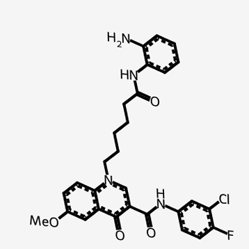 COc1ccc2c(c1)c(=O)c(C(=O)Nc1ccc(F)c(Cl)c1)cn2CCCCCC(=O)Nc1ccccc1N